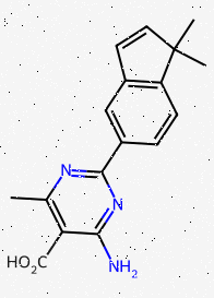 Cc1nc(-c2ccc3c(c2)C=CC3(C)C)nc(N)c1C(=O)O